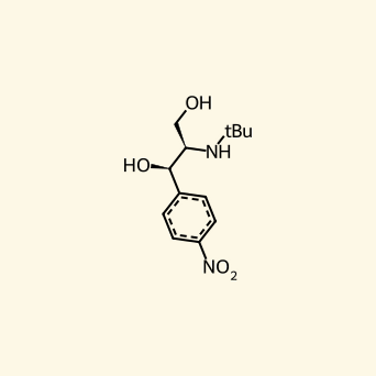 CC(C)(C)N[C@H](CO)[C@H](O)c1ccc([N+](=O)[O-])cc1